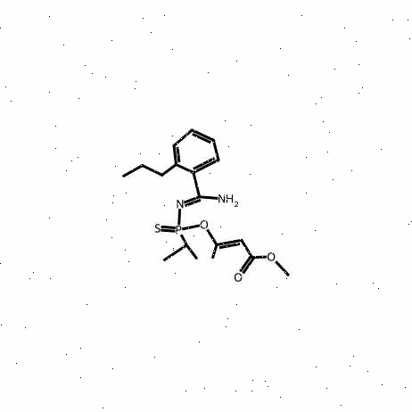 CCCc1ccccc1C(N)=NP(=S)(OC(C)=CC(=O)OC)C(C)C